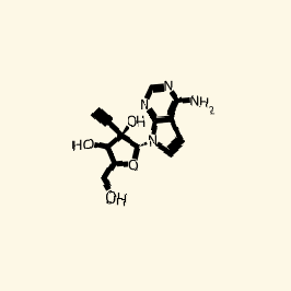 C#C[C@@]1(O)C(O)C(CO)O[C@H]1n1ccc2c(N)ncnc21